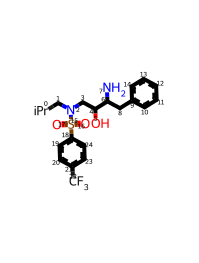 CC(C)CN(CC(O)C(N)Cc1ccccc1)S(=O)(=O)c1ccc(C(F)(F)F)cc1